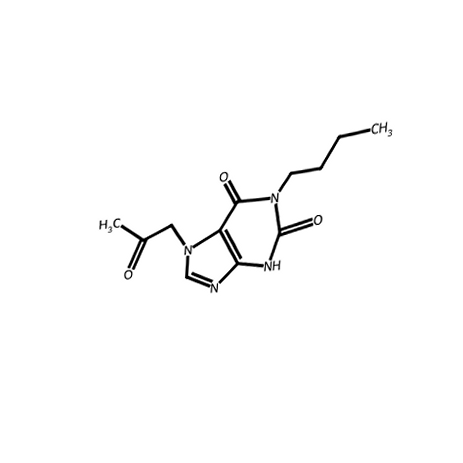 CCCCn1c(=O)[nH]c2ncn(CC(C)=O)c2c1=O